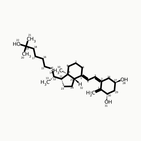 C=C1C(=CC=C2CCC[C@]3(C)[C@@H]([C@H](C)SCCCCC(C)(C)O)CC[C@@H]23)C[C@@H](O)C[C@@H]1O